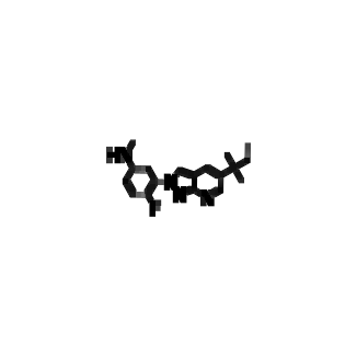 CCC(C)(C)c1cnc2nn(-c3cc(NC)ccc3F)cc2c1